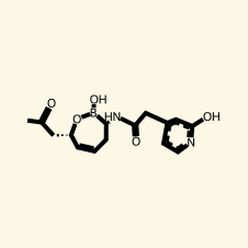 CC(=O)C[C@H]1C=CC[C@H](NC(=O)Cc2ccnc(O)c2)B(O)O1